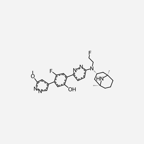 COc1cc(-c2cc(O)c(-c3ccc(N(CCF)[C@H]4C[C@]5(C)CCC[C@](C)(C4)N5)nn3)cc2F)cnn1